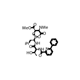 CN[C@H]1C(=O)OB([C@H](CC(C)C)NC(=O)[C@@H](NC(=O)c2cccc(-c3ccccc3)n2)[C@@H](C)O)O[C@H]1C(=O)OC